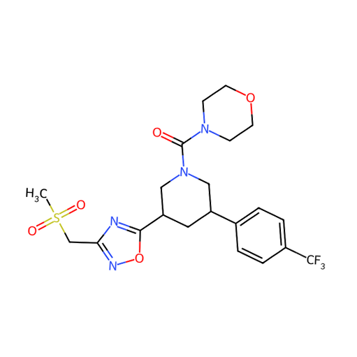 CS(=O)(=O)Cc1noc(C2CC(c3ccc(C(F)(F)F)cc3)CN(C(=O)N3CCOCC3)C2)n1